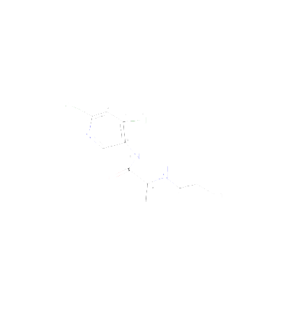 CC(C)CCNC(C)C(=O)Nc1cnc(Cl)cc1Cl